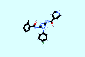 Cc1ccccc1C(=O)Nc1nc(NC(=O)c2ccncc2)nn1-c1ccc(Cl)cc1